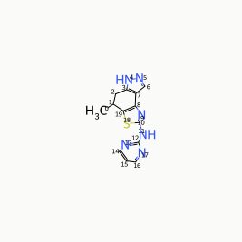 CC1Cc2[nH]ncc2-c2nc(Nc3ncccn3)sc21